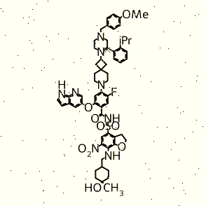 COc1ccc(CN2CCN(C3CC4(CCN(c5cc(Oc6cnc7[nH]ccc7c6)c(C(=O)NS(=O)(=O)c6cc([N+](=O)[O-])c(NCC7CCC(C)(O)CC7)c7c6CCO7)cc5F)CC4)C3)[C@H](c3ccccc3C(C)C)C2)cc1